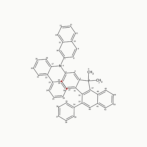 CC1(C)c2cc(N(c3ccc4ccccc4c3)c3ccccc3-c3ccccc3)ccc2-c2c(-c3ccccc3)cc3ccccc3c21